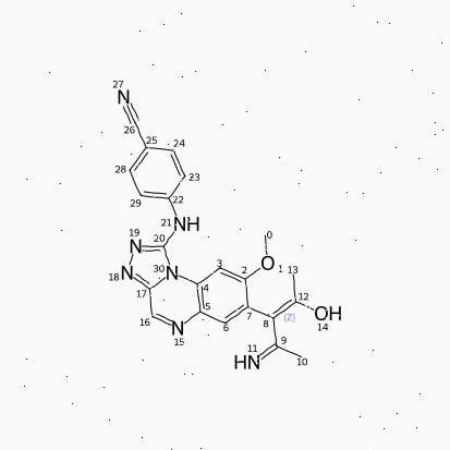 COc1cc2c(cc1/C(C(C)=N)=C(\C)O)ncc1nnc(Nc3ccc(C#N)cc3)n12